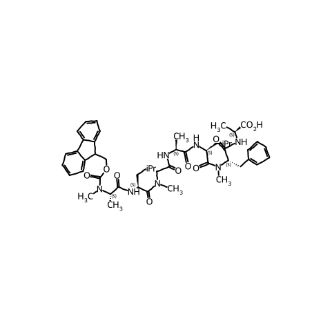 CC(C)C[C@H](NC(=O)[C@H](C)N(C)C(=O)OCC1c2ccccc2-c2ccccc21)C(=O)N(C)CC(=O)N[C@@H](C)C(=O)N[C@@H](CC(C)C)C(=O)N(C)[C@@H](Cc1ccccc1)C(=O)N[C@@H](C)C(=O)O